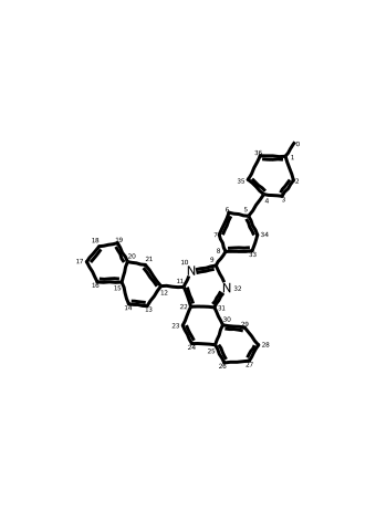 Cc1ccc(-c2ccc(-c3nc(-c4ccc5ccccc5c4)c4ccc5ccccc5c4n3)cc2)cc1